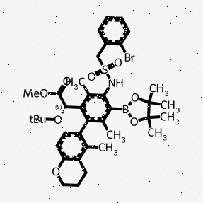 COC(=O)[C@@H](OC(C)(C)C)c1c(C)c(NS(=O)(=O)Cc2ccccc2Br)c(B2OC(C)(C)C(C)(C)O2)c(C)c1-c1ccc2c(c1C)CCCO2